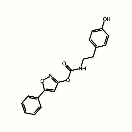 O=C(NCCc1ccc(O)cc1)Oc1cc(-c2ccccc2)on1